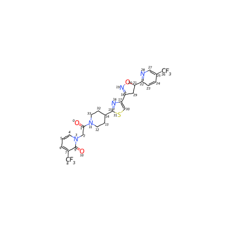 O=C(Cn1cccc(C(F)(F)F)c1=O)N1CCC(c2nc(C3=NOC(c4ccc(C(F)(F)F)cn4)C3)cs2)CC1